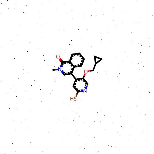 Cn1cc(-c2cc(S)ncc2OCC2CC2)c2ccccc2c1=O